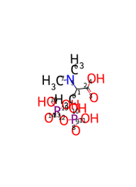 CC(C(=O)O)N(C)C.O=P(O)(O)OP(=O)(O)O